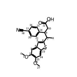 COc1cc2cc(C(C)C(CC(=O)O)c3ccc(C#N)cc3)sc2cc1OC